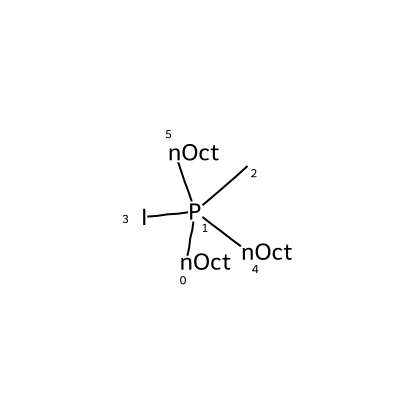 CCCCCCCCP(C)(I)(CCCCCCCC)CCCCCCCC